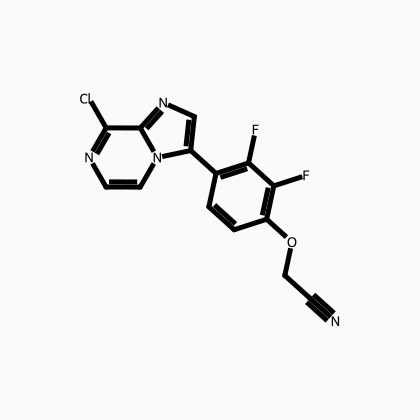 N#CCOc1ccc(-c2cnc3c(Cl)nccn23)c(F)c1F